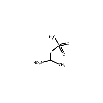 CC(SS(C)(=O)=O)S(=O)(=O)O